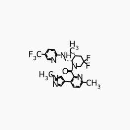 Cc1ccc(-c2cnn(C)c2)c(C(=O)N2CC(F)(F)C[C@@H](C)[C@H]2CNc2ccc(C(F)(F)F)cn2)n1